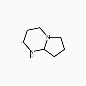 [CH]1CCN2CCCC2N1